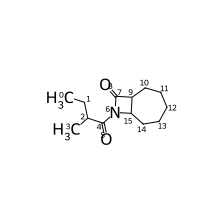 CCC(C)C(=O)N1C(=O)C2CCCCCC21